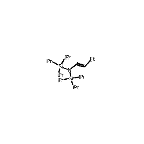 CCC=CN([Si](C(C)C)(C(C)C)C(C)C)[Si](C(C)C)(C(C)C)C(C)C